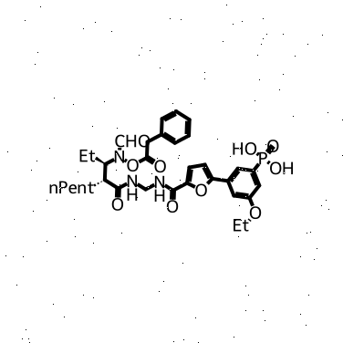 CCCCC[C@@H](C(=O)NCNC(=O)c1ccc(-c2cc(OCC)cc(P(=O)(O)O)c2)o1)[C@@H](CC)N(C=O)OC(=O)Cc1ccccc1